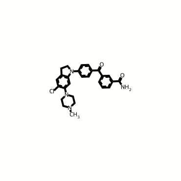 CN1CCN(c2cc3c(cc2Cl)CCN3c2ccc(C(=O)c3cccc(C(N)=O)c3)cc2)CC1